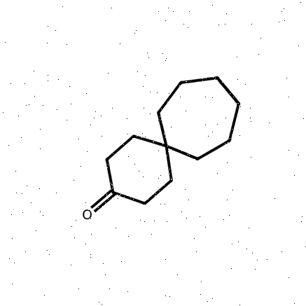 O=C1CCC2(CCCCCC2)CC1